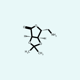 CC1(C)O[C@@H]2[C@@H](CN)OC(=O)[C@@H]2O1